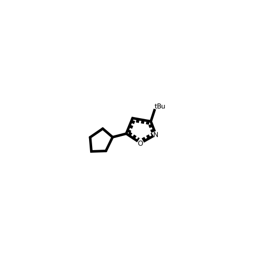 CC(C)(C)c1cc(C2CCCC2)on1